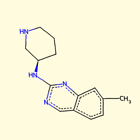 Cc1ccc2cnc(N[C@@H]3CCCNC3)nc2c1